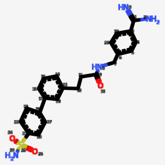 N=C(N)c1ccc(CNC(=O)CCc2cccc(-c3ccc(S(N)(=O)=O)cc3)c2)cc1